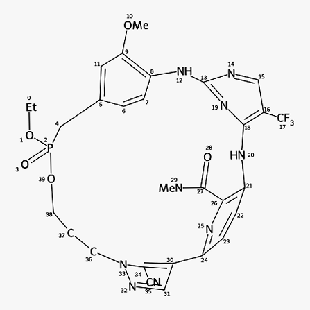 CCOP1(=O)Cc2ccc(c(OC)c2)Nc2ncc(C(F)(F)F)c(n2)Nc2ccc(nc2C(=O)NC)-c2cnn(c2C#N)CCCO1